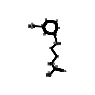 Nc1cccc(NCCNC(=O)O)c1